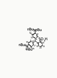 CCCCN(CCCC)c1ccc(C(c2ccc(N(CCCC)CCCC)c(C)c2)c2ccccc2S(=O)(=O)O)cc1C